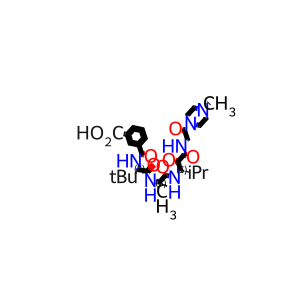 CC(C)[C@H](NC(=O)[C@H](C)NC(=O)[C@@H](NC(=O)c1cccc(C(=O)O)c1)C(C)(C)C)C(=O)C(=O)NCC(=O)N1CCN(C)CC1